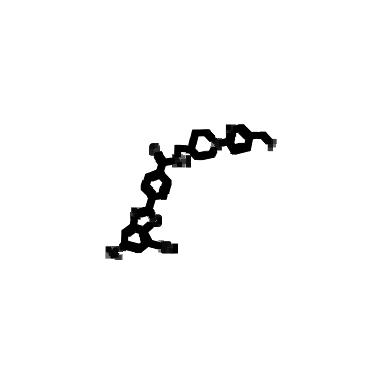 CCC(C)c1cc(C#N)cc2nc(-c3ccc(C(=O)NCC4CCN(c5ccc(CF)cn5)CC4)cc3)oc12